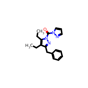 CCc1c(Cc2ccccc2)nn(C(=O)n2cccn2)c1CC